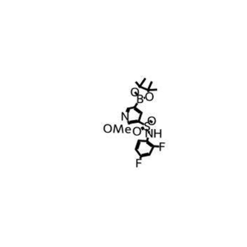 COc1ncc(B2OC(C)(C)C(C)(C)O2)cc1S(=O)(=O)Nc1ccc(F)cc1F